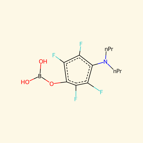 CCCN(CCC)c1c(F)c(F)c(OB(O)O)c(F)c1F